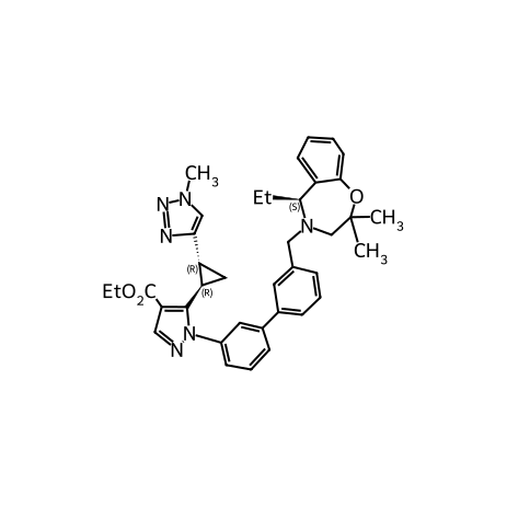 CCOC(=O)c1cnn(-c2cccc(-c3cccc(CN4CC(C)(C)Oc5ccccc5[C@@H]4CC)c3)c2)c1[C@@H]1C[C@H]1c1cn(C)nn1